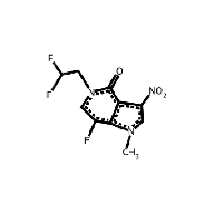 Cn1cc([N+](=O)[O-])c2c(=O)n(CC(F)F)cc(F)c21